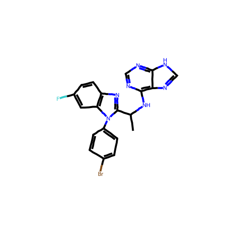 CC(Nc1ncnc2[nH]cnc12)c1nc2ccc(F)cc2n1-c1ccc(Br)cc1